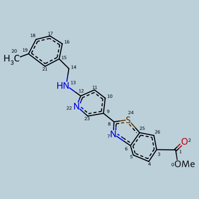 COC(=O)c1ccc2nc(-c3ccc(NCc4cccc(C)c4)nc3)sc2c1